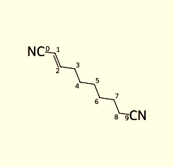 N#CC=CCCCCCCC#N